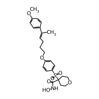 COc1ccc(/C(C)=C/CCCOc2ccc(S(=O)(=O)C3(C(=O)NO)CCOCC3)cc2)cc1